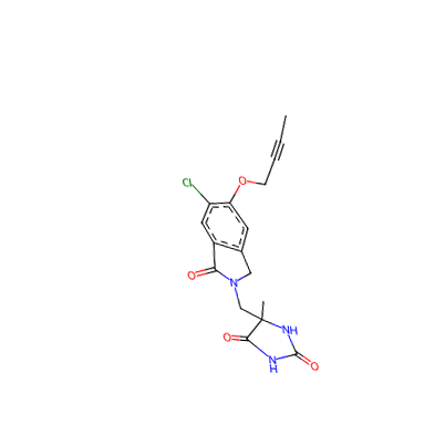 CC#CCOc1cc2c(cc1Cl)C(=O)N(CC1(C)NC(=O)NC1=O)C2